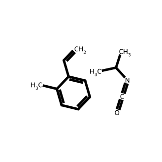 C=Cc1ccccc1C.CC(C)N=C=O